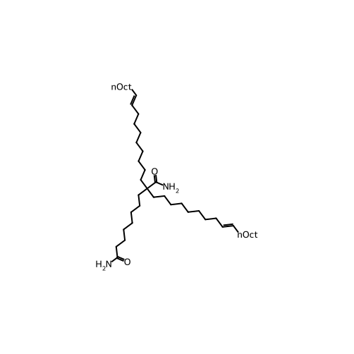 CCCCCCCCC=CCCCCCCCCC(CCCCCCCCC=CCCCCCCCC)(CCCCCCCC(N)=O)C(N)=O